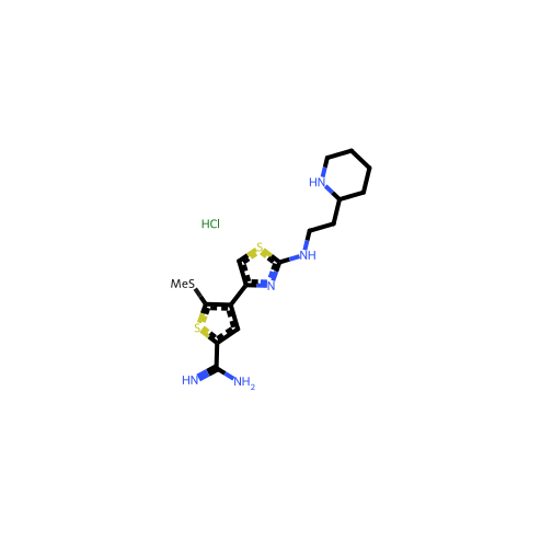 CSc1sc(C(=N)N)cc1-c1csc(NCCC2CCCCN2)n1.Cl